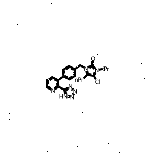 CCCc1c(Cl)n(C(C)C)c(=O)n1Cc1ccc(-c2cccnc2-c2nnn[nH]2)cc1